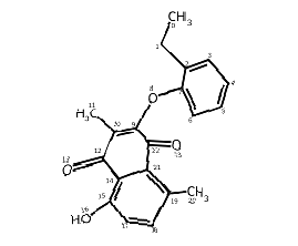 CCc1ccccc1OC1=C(C)C(=O)c2c(O)ccc(C)c2C1=O